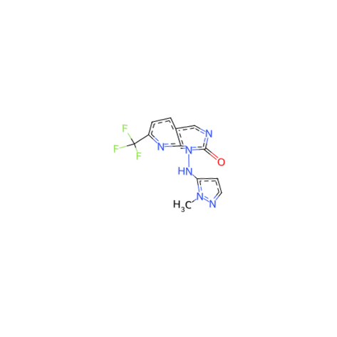 Cn1nccc1Nn1c(=O)ncc2ccc(C(F)(F)F)nc21